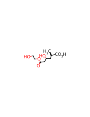 C=C(CC(O)CC(=O)OCCO)C(=O)O